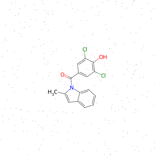 Cc1cc2ccccc2n1C(=O)c1cc(Cl)c(O)c(Cl)c1